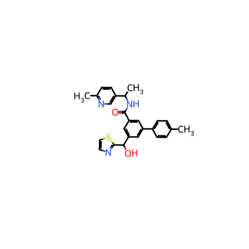 Cc1ccc(-c2cc(C(=O)NC(C)c3ccc(C)nc3)cc(C(O)c3nccs3)c2)cc1